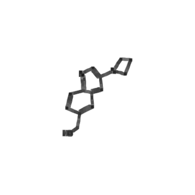 OCc1ccc2ncc(N3CCC3)cc2c1